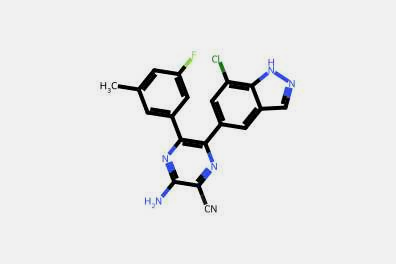 Cc1cc(F)cc(-c2nc(N)c(C#N)nc2-c2cc(Cl)c3[nH]ncc3c2)c1